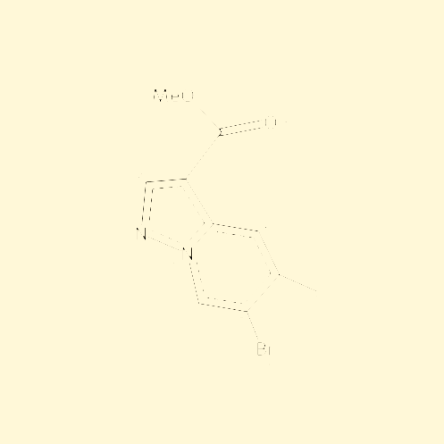 COC(=O)c1cnn2cc(Br)c(C)cc12